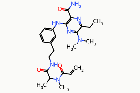 C=CC(=O)N(C)C(C)C(=O)NCCc1cccc(Nc2nc(N(C)C)c(CC)nc2C(N)=O)c1